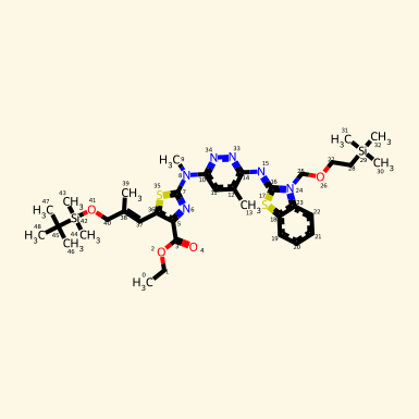 CCOC(=O)c1nc(N(C)c2cc(C)c(/N=c3\sc4ccccc4n3COCC[Si](C)(C)C)nn2)sc1/C=C(\C)CO[Si](C)(C)C(C)(C)C